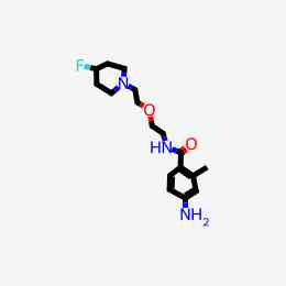 Cc1cc(N)ccc1C(=O)NCCOCCN1CCC(F)CC1